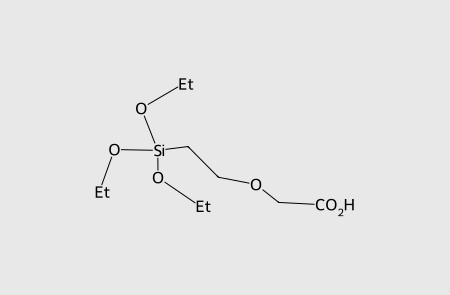 CCO[Si](CCOCC(=O)O)(OCC)OCC